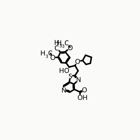 COc1cc(C(O)C(Cc2nc3c(C(=O)O)cncc3s2)OC2CCCC2)cc(OC)c1C